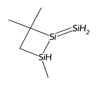 C[SiH]1CC(C)(C)[Si]1=[SiH2]